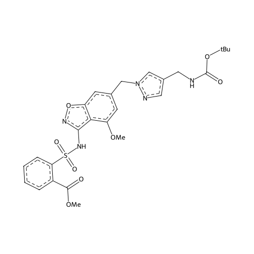 COC(=O)c1ccccc1S(=O)(=O)Nc1noc2cc(Cn3cc(CNC(=O)OC(C)(C)C)cn3)cc(OC)c12